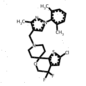 Cc1cccc(C)c1-n1cc(CN2CCC3(CC2)OCC(F)(F)c2cc(Cl)sc23)c(C)n1